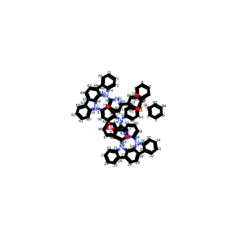 c1ccc(B(c2ccccc2)c2ccc(N3c4ccc(-n5c6ccccc6c6ccc7c8ccccc8n(-c8cccc(-c9ccccc9)n8)c7c65)cc4Oc4cc(-n5c6ccccc6c6ccc7c8ccccc8n(-c8cccc(-c9ccccc9)n8)c7c65)ccc43)cc2)cc1